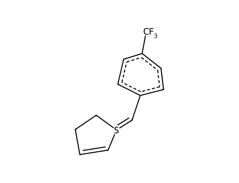 FC(F)(F)c1ccc(C=S2C=CCC2)cc1